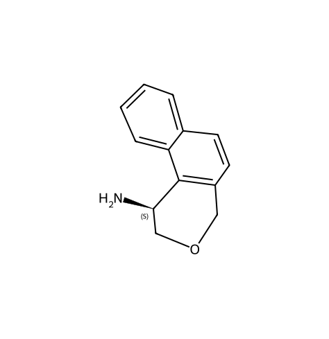 N[C@@H]1COCc2ccc3ccccc3c21